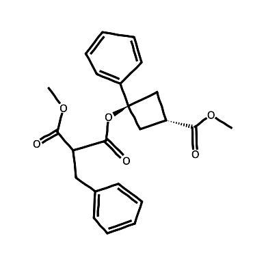 COC(=O)C(Cc1ccccc1)C(=O)O[C@]1(c2ccccc2)C[C@@H](C(=O)OC)C1